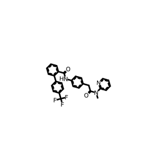 CN(C(=O)Cc1ccc(NC(=O)c2ccccc2-c2ccc(C(F)(F)F)cc2)cc1)c1ccccn1